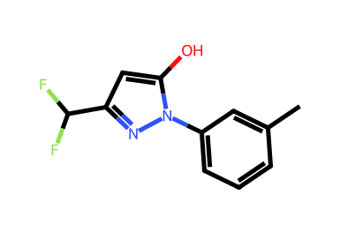 Cc1cccc(-n2nc(C(F)F)cc2O)c1